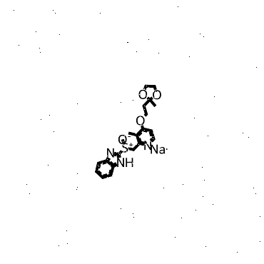 Cc1c(OCCC2(C)OCCO2)ccnc1C[S+]([O-])c1nc2ccccc2[nH]1.[Na]